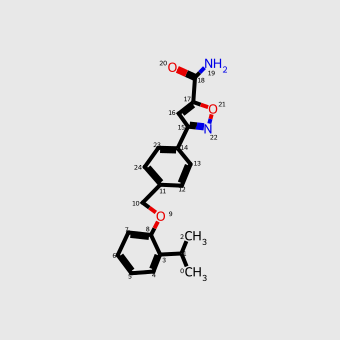 CC(C)c1ccccc1OCc1ccc(-c2cc(C(N)=O)on2)cc1